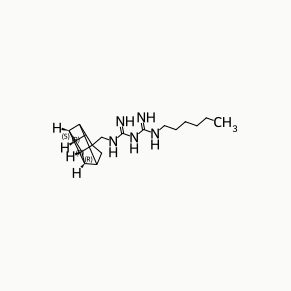 CCCCCCNC(=N)NC(=N)NCC12CC3C4C1[C@H]1[C@@H]4[C@@H]3[C@H]12